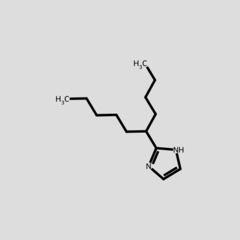 CCCCCC(CCCC)c1ncc[nH]1